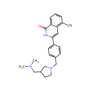 CN(C)CC1CCN(Cc2ccc(-c3cc4c(C#N)cccc4c(=O)[nH]3)cc2)C1